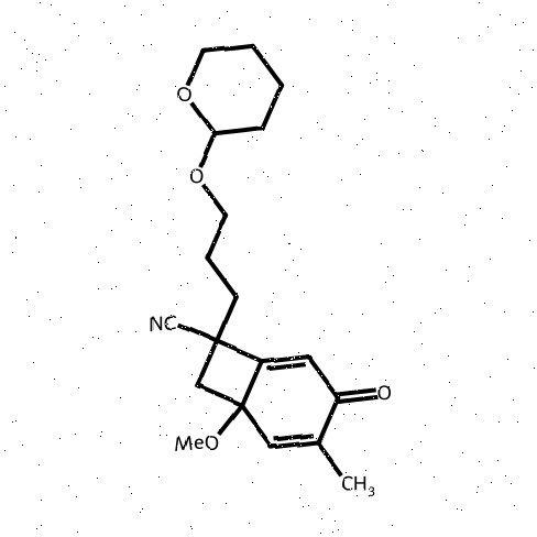 COC12C=C(C)C(=O)C=C1C(C#N)(CCCOC1CCCCO1)C2